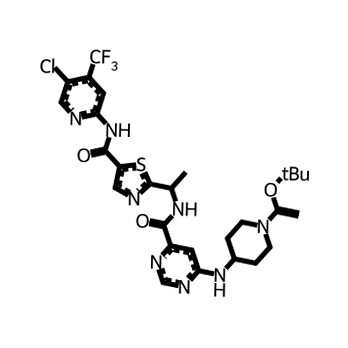 C=C(OC(C)(C)C)N1CCC(Nc2cc(C(=O)NC(C)c3ncc(C(=O)Nc4cc(C(F)(F)F)c(Cl)cn4)s3)ncn2)CC1